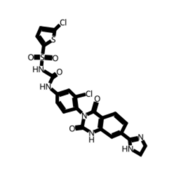 O=C(Nc1ccc(-n2c(=O)[nH]c3cc(C4=NCCN4)ccc3c2=O)c(Cl)c1)NS(=O)(=O)c1ccc(Cl)s1